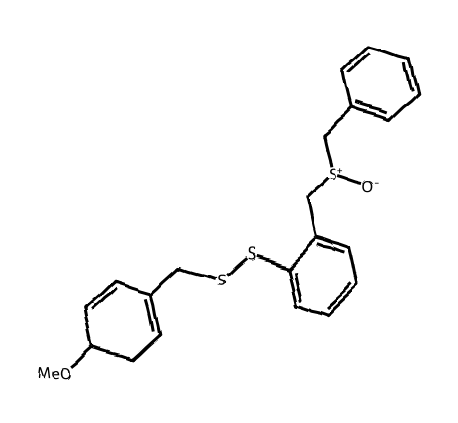 COC1C=CC(CSSc2ccccc2C[S+]([O-])Cc2ccccc2)=CC1